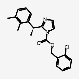 Cc1cccc([C@H](C)c2nccn2C(=O)OCc2ccccc2Cl)c1C